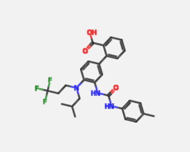 Cc1ccc(NC(=O)Nc2cc(-c3ccccc3C(=O)O)ccc2N(CCC(F)(F)F)CC(C)C)cc1